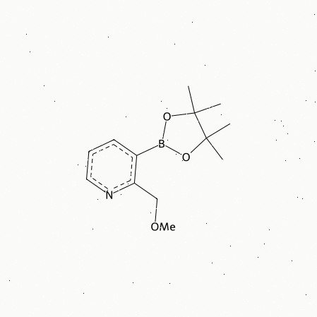 COCc1ncccc1B1OC(C)(C)C(C)(C)O1